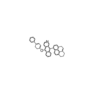 C1=C(Oc2c3ccccc3c(-c3ccc4c5c6c(ccc35)CCCC6=CC4)c3cnccc23)CCC(c2ccccc2)=C1